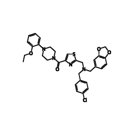 CCOc1ccccc1N1CCN(C(=O)c2csc(CN(Cc3ccc(Cl)cc3)Cc3ccc4c(c3)OCO4)n2)CC1